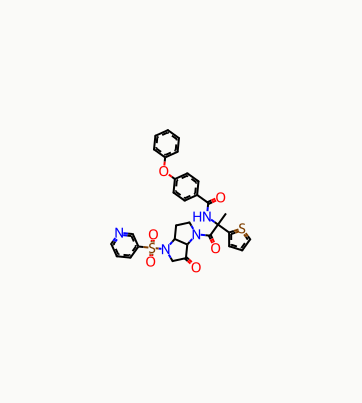 CC(NC(=O)c1ccc(Oc2ccccc2)cc1)(C(=O)N1CCC2C1C(=O)CN2S(=O)(=O)c1cccnc1)c1cccs1